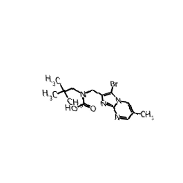 Cc1cnc2nc(CN(CC(C)(C)C)C(=O)O)c(Br)n2c1